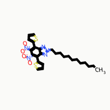 CCCCCCCCCCCCn1nc2c(-c3cccs3)c([N+](=O)[O-])c([N+](=O)[O-])c(-c3cccs3)c2n1